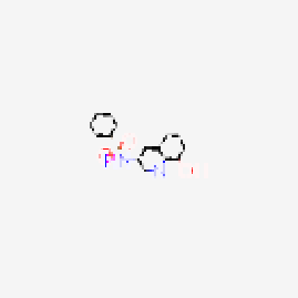 O=S(=O)(Nc1cnc2c(O)cccc2c1)c1ccccc1